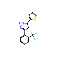 FC(F)(F)c1ccccc1C1=NNC(c2cccs2)C1